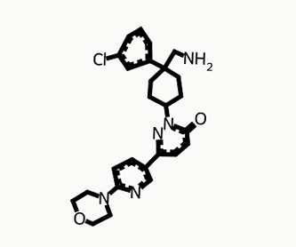 NCC1(c2cccc(Cl)c2)CCC(n2nc(-c3ccc(N4CCOCC4)nc3)ccc2=O)CC1